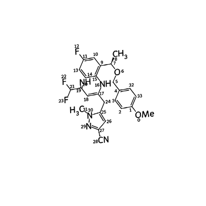 COc1ccc(CO[C@H](C)c2cc(F)ccc2N/C(=C\C(=N)C(F)F)Cc2cc(C#N)nn2C)cc1